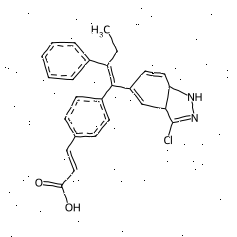 CC/C(=C(\C1=CC2C(Cl)=NNC2C=C1)c1ccc(/C=C/C(=O)O)cc1)c1ccccc1